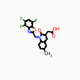 Cc1ccc2c(c1)cc(CC(=O)O)c(=O)n2Cc1nc2c(F)c(F)cc(F)c2s1